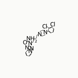 NC(=O)N(CCCCN1CCN(c2cccc(Cl)c2Cl)CC1)c1nc2ccccn2n1